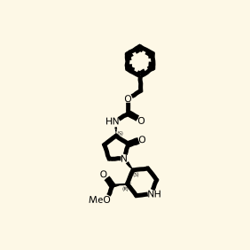 COC(=O)[C@@H]1CNCC[C@@H]1N1CC[C@H](NC(=O)OCc2ccccc2)C1=O